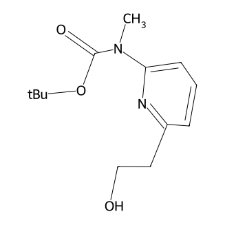 CN(C(=O)OC(C)(C)C)c1cccc(CCO)n1